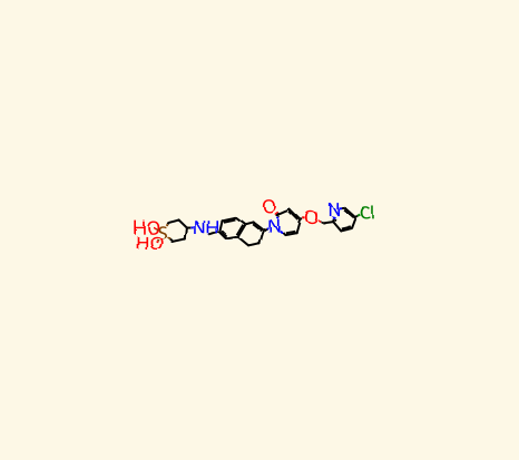 O=c1cc(OCc2ccc(Cl)cn2)ccn1C1=Cc2ccc(CNC3CCS(O)(O)CC3)cc2CC1